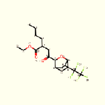 [CH2]CCCC(CC(=O)[C]1OC2CCC1CC2C(F)(F)C(F)(F)F)C(=O)OCC